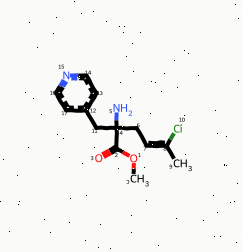 COC(=O)C(N)(CC=C(C)Cl)Cc1ccncc1